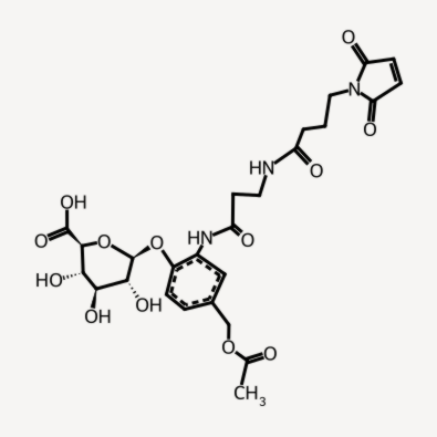 CC(=O)OCc1ccc(O[C@@H]2O[C@H](C(=O)O)[C@@H](O)[C@H](O)[C@H]2O)c(NC(=O)CCNC(=O)CCCN2C(=O)C=CC2=O)c1